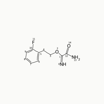 N=C(OCCc1ccccc1F)C(N)=O